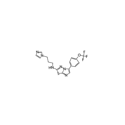 FC(F)(F)Oc1ccc(-c2cnc3sc(NCCCn4ccnc4)nn23)cc1